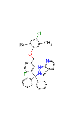 Cc1cc(OCc2ccc(F)c(C(c3ccccc3)(c3ccccc3)n3cc4cccnc4n3)c2)c(C(C)(C)C)cc1Cl